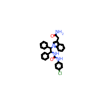 NC(=O)Cc1cn(C(c2ccccc2)C(NC(=O)Nc2ccc(Cl)cc2)c2ccccc2)c2ccccc12